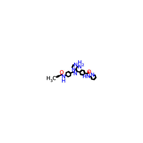 CC#CC(=O)NC1CC=C(c2nc(-c3ccc(C(=O)Nc4ccccn4)cc3)c3c(N)nccn23)CC1